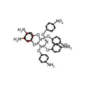 Nc1ccc(ON2P(Oc3ccc([N+](=O)[O-])cc3)N=P(Oc3ccc([N+](=O)[O-])cc3)(Oc3ccc([N+](=O)[O-])cc3)N(Oc3ccc(N)cc3)P2Oc2ccc(N)cc2)cc1